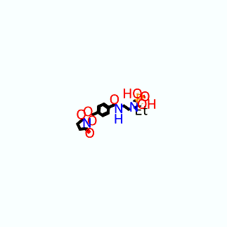 CCN(CCNC(=O)c1ccc(C(=O)ON2C(=O)CCC2=O)cc1)CP(=O)(O)O